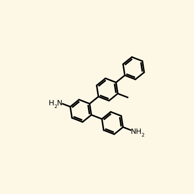 Cc1cc(-c2cc(N)ccc2-c2ccc(N)cc2)ccc1-c1ccccc1